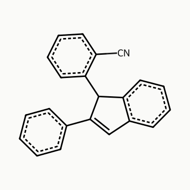 N#Cc1ccccc1C1C(c2ccccc2)=Cc2ccccc21